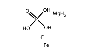 O=P(O)(O)O.[F].[Fe].[MgH2]